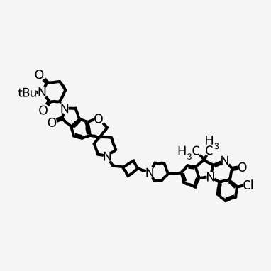 CC1(C)c2cc(C3CCN(C4CC(CN5CCC6(CC5)COc5c6ccc6c5CN([C@H]5CCC(=O)N(C(C)(C)C)C5=O)C6=O)C4)CC3)ccc2-n2c1nc(=O)c1c(Cl)cccc12